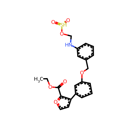 CCOC(=O)c1occc1-c1cccc(OCc2cccc(NCO[SH](=O)=O)c2)c1